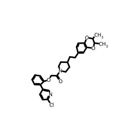 CC1Oc2ccc(CCC3CCN(C(=O)COc4ccccc4-c4ccc(Cl)nc4)CC3)cc2OC1C